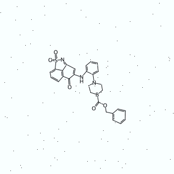 O=C(OCc1ccccc1)B1CCN(c2ccccc2NC2=CC3=NS(=O)(=O)c4cccc(c43)C2=O)CC1